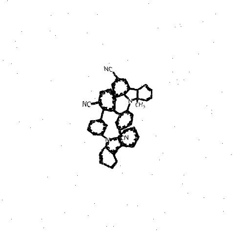 CC12C=CC=CC1c1cc(C#N)ccc1N2c1ccc(C#N)cc1-c1cccc(C#N)c1-c1cccc(-n2c3c(c4ccccc42)CCC=C3)c1